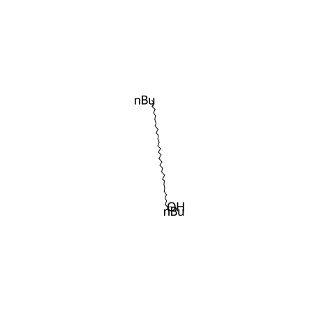 CCCC/C=C/CCCCCCCCCCCCCCCCCCCCCCCCCCCCCCC(O)CCCC